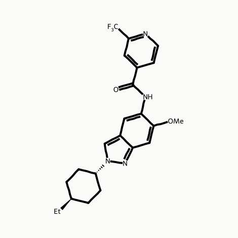 CC[C@H]1CC[C@H](n2cc3cc(NC(=O)c4ccnc(C(F)(F)F)c4)c(OC)cc3n2)CC1